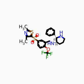 Cc1nc(C)c(S(=O)(=O)c2ccc(OC(F)(F)F)c(CN[C@H]3CCCN[C@H]3c3ccccc3)c2)s1